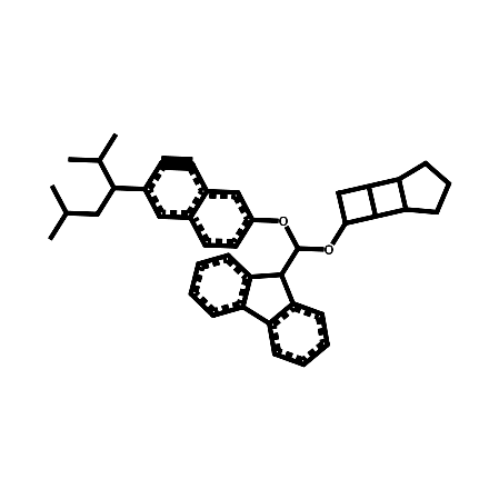 CC(C)CC(c1c#cc2cc(OC(OC3CC4C5CCCC5C34)C3c4ccccc4-c4ccccc43)ccc2c1)C(C)C